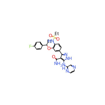 CCC(Oc1cc(-c2n[nH]c(Nc3cnccn3)c2C(N)=O)ccc1NS(=O)(=O)CC)c1ccc(F)cc1